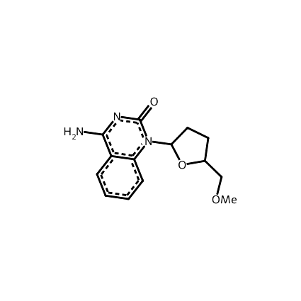 COCC1CCC(n2c(=O)nc(N)c3ccccc32)O1